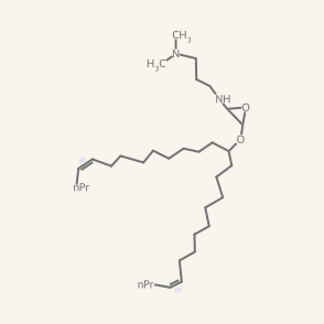 CCC/C=C\CCCCCCCCC(CCCCCCCC/C=C\CCC)OC1OC1NCCCN(C)C